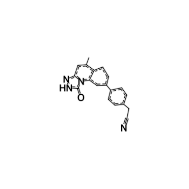 Cc1cc2n[nH]c(=O)n2c2cc(-c3ccc(CC#N)cc3)ccc12